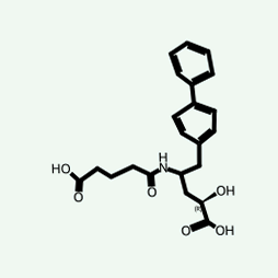 O=C(O)CCCC(=O)NC(Cc1ccc(-c2ccccc2)cc1)C[C@@H](O)C(=O)O